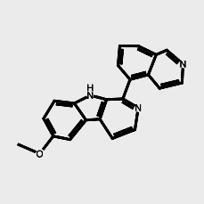 COc1ccc2[nH]c3c(-c4cccc5cnccc45)nccc3c2c1